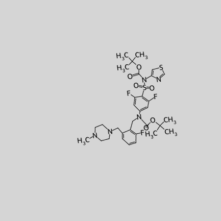 CN1CCN(Cc2cccc(F)c2CN(C(=O)OC(C)(C)C)c2cc(F)c(S(=O)(=O)N(C(=O)OC(C)(C)C)c3cscn3)c(F)c2)CC1